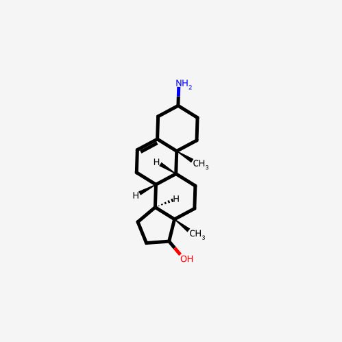 C[C@]12CCC(N)CC1=CC[C@@H]1[C@H]2CC[C@]2(C)C(O)CC[C@@H]12